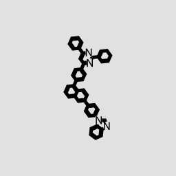 C1=CC(c2nc(-c3ccccc3)cc(-c3ccc(-c4cccc5cc(-c6ccc(-n7cnc8ccccc87)cc6)ccc45)cc3)n2)=CCC1